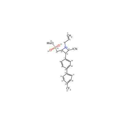 C=CCN1C(C#N)C(c2ccc(-c3ccc(C(F)(F)F)cc3)cc2)C1CS(=O)(=O)OC